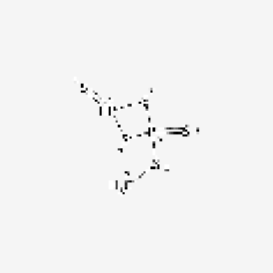 CSP1(=S)S[PH](=S)S1